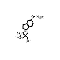 CCCCCCCOc1ccc2c(c1)CC[C@H]2CC(N)(CO)CO